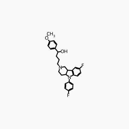 COc1ccc(C(O)CCCN2CCC3C(C2)c2cc(F)ccc2N3c2ccc(F)cc2)cc1